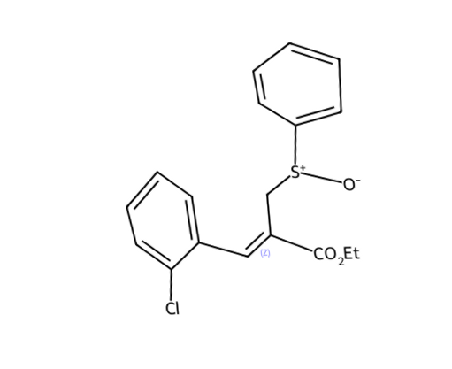 CCOC(=O)/C(=C/c1ccccc1Cl)C[S+]([O-])c1ccccc1